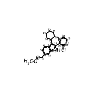 COOCc1ccc2c(C3CCCCC3)c(-c3nccnc3Cl)[nH]c2c1